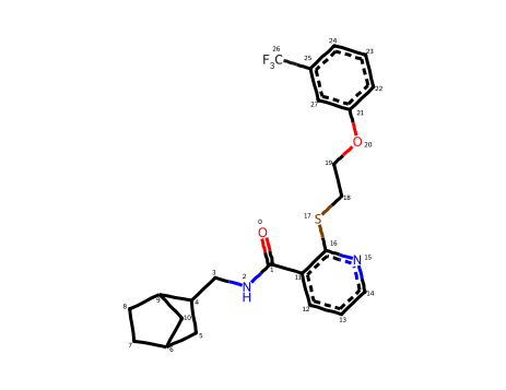 O=C(NCC1CC2CCC1C2)c1cccnc1SCCOc1cccc(C(F)(F)F)c1